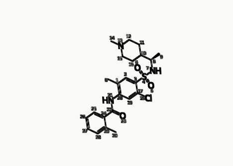 Cc1cc(S(=O)(=O)N[C@H](C)C2CCN(C)CC2)c(Cl)cc1NC(=O)c1ccccc1C